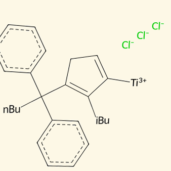 CCCCC(C1=C(C(C)CC)[C]([Ti+3])=CC1)(c1ccccc1)c1ccccc1.[Cl-].[Cl-].[Cl-]